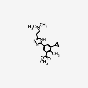 COC(=O)c1cc(-c2nnc(CCN(C)C)[nH]2)cc(C2CC2)c1C